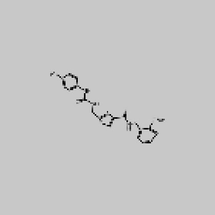 COc1ccccc1CNC(=O)c1csc(CNC(=O)Nc2ccc(C(C)C)cc2)n1